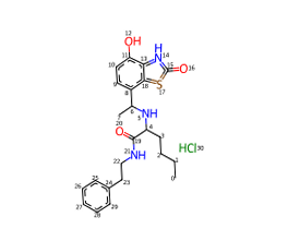 CCCCC(NC(C)c1ccc(O)c2[nH]c(=O)sc12)C(=O)NCCc1ccccc1.Cl